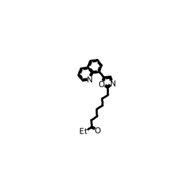 CCC(=O)CCCCCCc1ncc(-c2cccc3cccnc23)o1